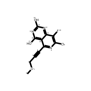 COCC#Cc1nc(Cl)c(F)c2nc(O)nc(O)c12